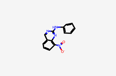 O=[N+]([O-])c1cccc2cnc(Nc3ccccc3)nc12